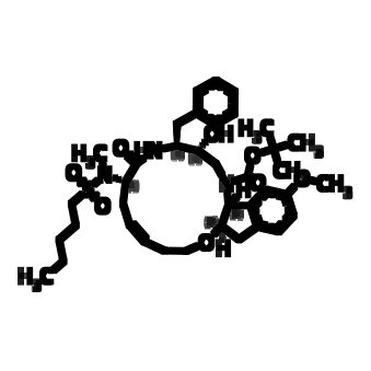 CCCCCS(=O)(=O)N(C)[C@H]1CC=CCCO[C@@H]2Cc3ccc(OC)cc3[C@H]2N(C(=O)OC(C)(C)C)C[C@@H](O)[C@H](Cc2ccccc2)NC1=O